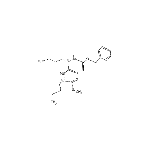 CCCC[C@H](NC(=O)OCc1ccccc1)C(=O)N[C@@H](CCCC)C(=O)OC